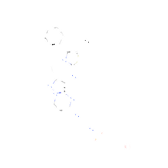 CCc1nn2ccc(N3CCN(S(=O)(=O)CCO)CC3)nc2c1N(C)c1nc(-c2ccc(F)cc2)c(C#N)s1